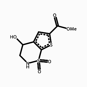 COC(=O)c1cc2c(s1)S(=O)(=O)NCC2O